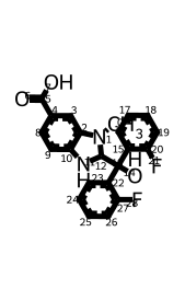 CN1c2cc(C(=O)O)ccc2NC1C(O)(c1ccccc1F)c1ccccc1F